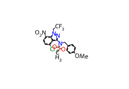 COc1ccc(CN(c2nn(CC(F)(F)F)c3c([N+](=O)[O-])ccc(Cl)c23)S(C)(=O)=O)cc1